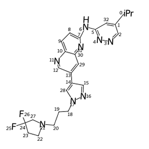 CC(C)c1cnnc(Nc2ccc3ncc(-c4cnn(CCCN5CCC(F)(F)C5)c4)cc3n2)c1